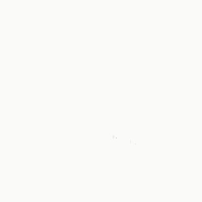 CNCc1cc(F)ccc1OCC1CCCC1